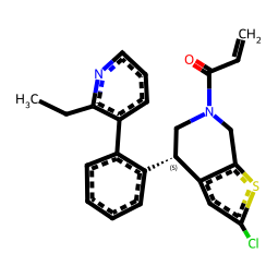 C=CC(=O)N1Cc2sc(Cl)cc2[C@H](c2ccccc2-c2cccnc2CC)C1